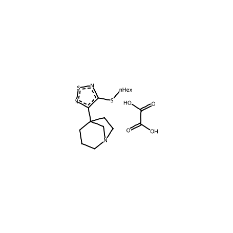 CCCCCCSc1nsnc1C12CCCN(CC1)C2.O=C(O)C(=O)O